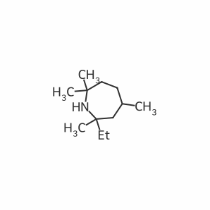 CCC1(C)CC(C)CCC(C)(C)N1